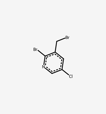 Clc1cnc(Br)c(CBr)c1